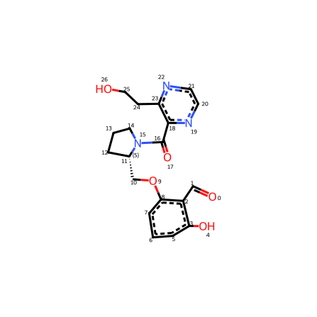 O=Cc1c(O)cccc1OC[C@@H]1CCCN1C(=O)c1nccnc1CCO